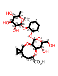 CC[C@@H]1CCC[C@@H](O[C@@H]2OC(CO)[C@H](O)C3O[C@@H](C(=O)O)CCC4(CC4)COC32)C1O[C@@H]1OC(C)[C@@H](O)C(O)[C@@H]1O